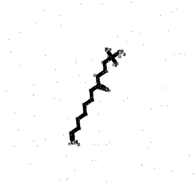 C=CCCCCCCC(=O)CCCC(F)(F)C(F)(F)F